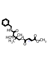 COC(=O)/C=C/C(=O)OCC(C)(C)[C@@H](O)C(=O)NCc1ccccc1